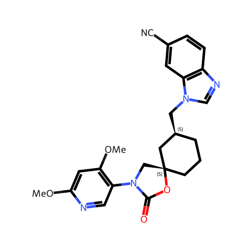 COc1cc(OC)c(N2C[C@@]3(CCC[C@H](Cn4cnc5ccc(C#N)cc54)C3)OC2=O)cn1